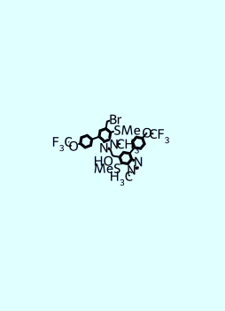 CSc1c(C(O)c2nc3c(-c4ccc(OC(F)(F)F)cc4)cc(CBr)c(SC)c3n2C)cc(-c2ccc(OC(F)(F)F)cc2)c2ncn(C)c12